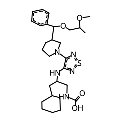 COC(C)COC(c1ccccc1)C1CCCN(c2nsnc2NC(CNC(=O)O)CC2CCCCC2)C1